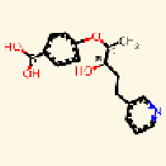 C[C@H](Oc1ccc(B(O)O)cc1)[C@H](O)CCc1cccnc1